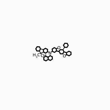 CC1(C)c2ccccc2-c2ccc(N(c3ccc4oc5c(-c6ccccc6)c6c(cc5c4c3)oc3ccccc36)c3cccc4ccccc34)cc21